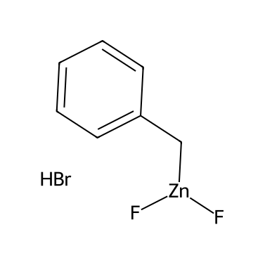 Br.[F][Zn]([F])[CH2]c1ccccc1